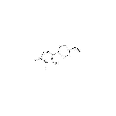 C=C[C@H]1CC[C@H](c2ccc(C)c(F)c2F)CC1